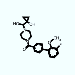 COc1c(F)cccc1-c1ccc(C(=O)N2CCN(C(O)C3(O)CC3)CC2)cc1